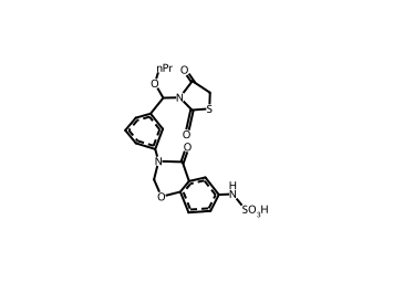 CCCOC(c1cccc(N2COc3ccc(NS(=O)(=O)O)cc3C2=O)c1)N1C(=O)CSC1=O